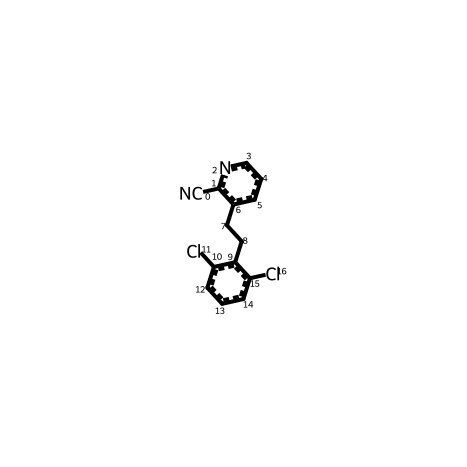 N#Cc1ncccc1CCc1c(Cl)cccc1Cl